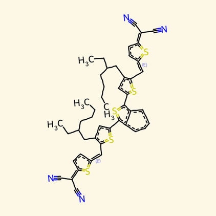 CCCCC(CC)Cc1cc(-c2sc(-c3cc(CC(CC)CCCC)c(/C=c4\ccc(=C(C#N)C#N)s4)s3)c3ccccc23)sc1/C=c1\ccc(=C(C#N)C#N)s1